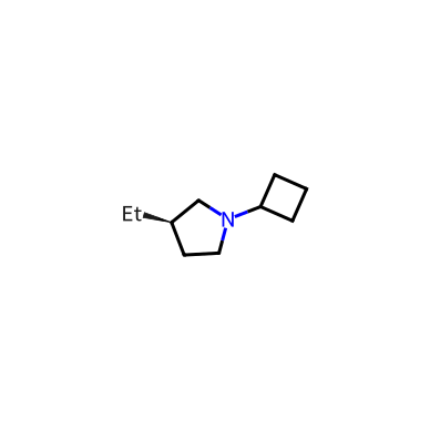 CC[C@@H]1CCN(C2CCC2)C1